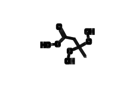 CC(CC(=O)OO)(OO)OO